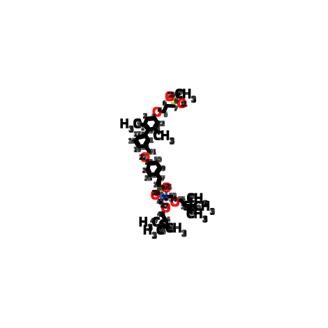 Cc1cc(OCCCS(C)(=O)=O)cc(C)c1-c1cccc(COc2ccc(C=CS(=O)(=O)N(COCC[Si](C)(C)C)COCC[Si](C)(C)C)cc2)c1